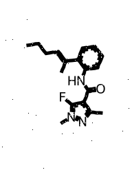 CCC/C=C(\C)c1ccccc1NC(=O)c1c(C)nn(C)c1F